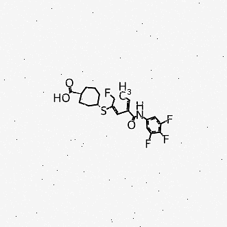 C/C=C(\C=C(/CF)S[C@H]1CCC[C@H](C(=O)O)CC1)C(=O)Nc1cc(F)c(F)c(F)c1